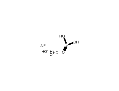 O=[Si](O)O.[Al+3].[OH-].[OH-].[OH-]